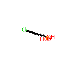 O=P(O)(O)CCCCCCCCCCCCCCCl